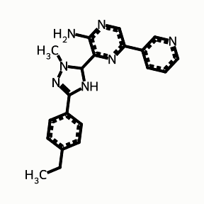 CCc1ccc(C2=NN(C)C(c3nc(-c4cccnc4)cnc3N)N2)cc1